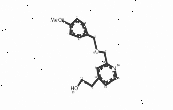 COc1ccc(COCc2cc(CCO)ccn2)cc1